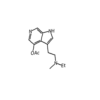 CCN(C)CCc1c[nH]c2cncc(OC(C)=O)c12